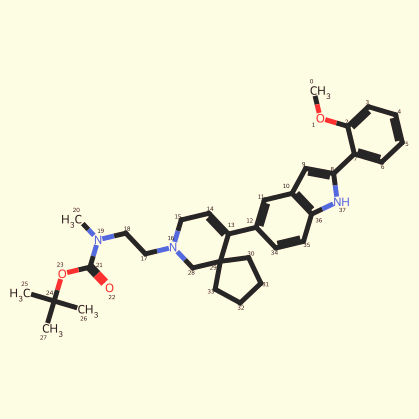 COc1ccccc1-c1cc2cc(C3=CCN(CCN(C)C(=O)OC(C)(C)C)CC34CCCC4)ccc2[nH]1